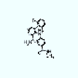 CNC(=O)c1ccc(Nc2c(-c3c(F)cccc3F)cnnc2C(N)=O)cc1